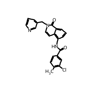 Cc1ccc(C(=O)Nc2cccc3c(=O)n(Cc4cccnc4)ccc23)cc1Cl